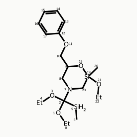 CCOC(OCC)([SiH2]C)N1CC(COc2ccccc2)O[Si](C)(OCC)C1